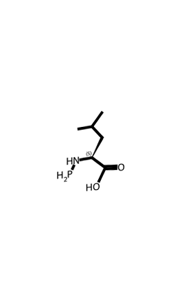 CC(C)C[C@H](NP)C(=O)O